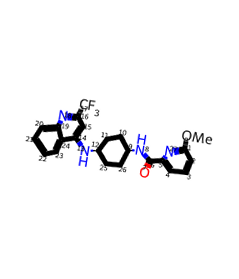 COc1cccc(C(=O)N[C@H]2CC[C@@H](Nc3cc(C(F)(F)F)nc4ccccc34)CC2)n1